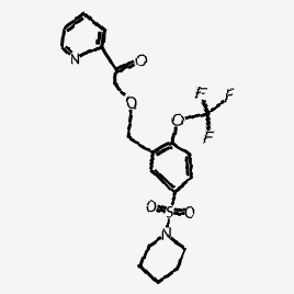 O=C(COCc1cc(S(=O)(=O)N2CCCCC2)ccc1OC(F)(F)F)c1ccccn1